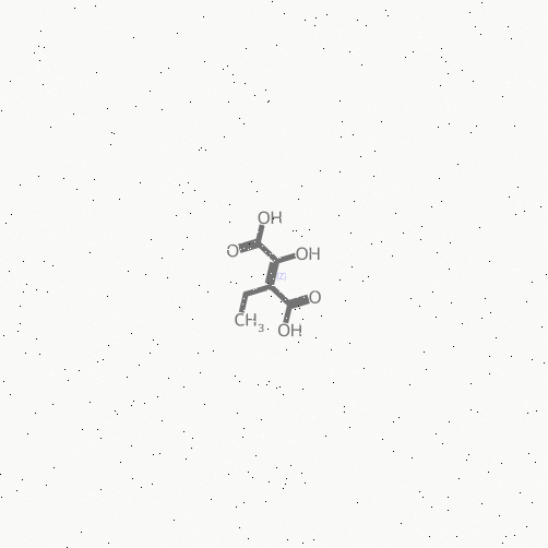 CC/C(C(=O)O)=C(/O)C(=O)O